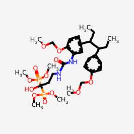 CCC(c1ccc(OCOC)cc1)C(CC)c1ccc(OCOC)c(NC(=O)NCCC(O)(P(=O)(OC)OC)P(=O)(OC)OC)c1